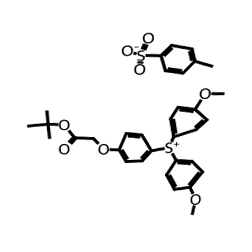 COc1ccc([S+](c2ccc(OC)cc2)c2ccc(OCC(=O)OC(C)(C)C)cc2)cc1.Cc1ccc(S(=O)(=O)[O-])cc1